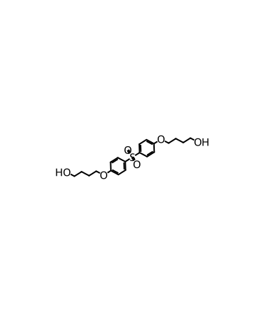 O=S(=O)(c1ccc(OCCCCO)cc1)c1ccc(OCCCCO)cc1